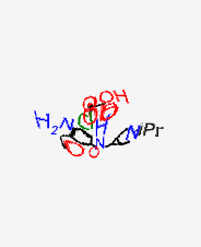 CC(C)N1CC2C(CNC(=O)c3cc(Cl)c(N)c4c3OCC4)C2C1.O=C(O)C(=O)O